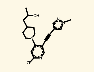 CC(O)CC1CCN(c2cc(Cl)ncc2C#Cc2cnn(C)c2)CC1